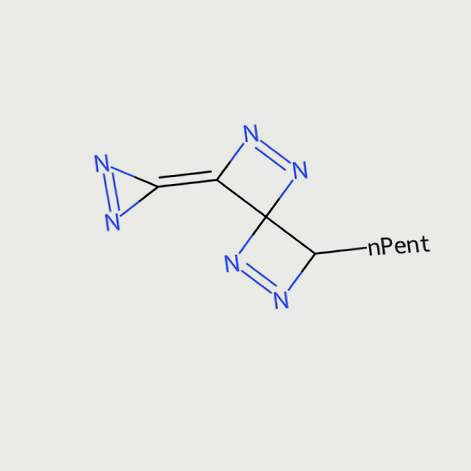 CCCCCC1N=NC12N=NC2=C1N=N1